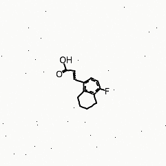 O=C(O)C=Cc1ccc(F)c2c1CCCC2